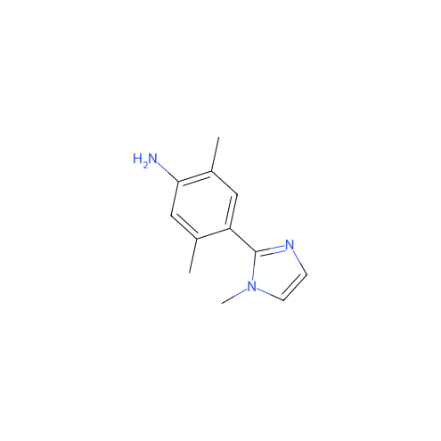 Cc1cc(-c2nccn2C)c(C)cc1N